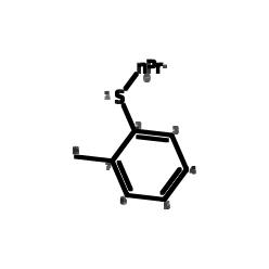 CC[CH]Sc1ccccc1C